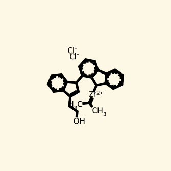 C[C](C)=[Zr+2][CH]1c2ccccc2-c2cccc(C3C=C(CCO)c4ccccc43)c21.[Cl-].[Cl-]